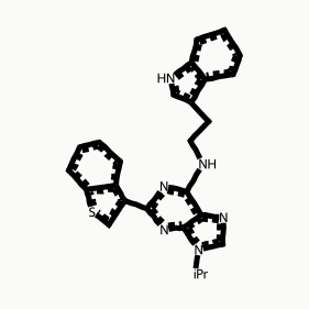 CC(C)n1cnc2c(NCCc3c[nH]c4ccccc34)nc(-c3csc4ccccc34)nc21